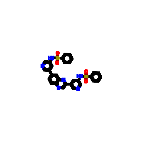 O=S(=O)(Nc1cncc(-c2ccc3ncc(-c4cncc(NS(=O)(=O)c5ccccc5)c4)nc3c2)c1)c1ccccc1